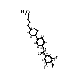 CCCCCC1CCC(c2ccc(OC(=O)c3cc(F)c(F)c(F)c3)cc2)CC1